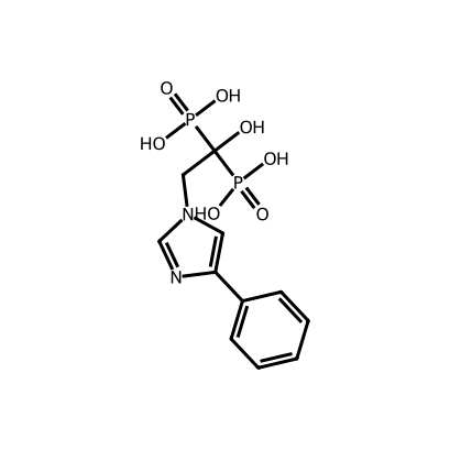 O=P(O)(O)C(O)(Cn1cnc(-c2ccccc2)c1)P(=O)(O)O